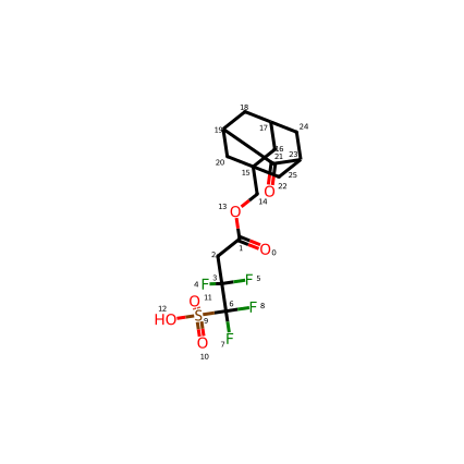 O=C(CC(F)(F)C(F)(F)S(=O)(=O)O)OCC12CC3CC(C1)C(=O)C(C3)C2